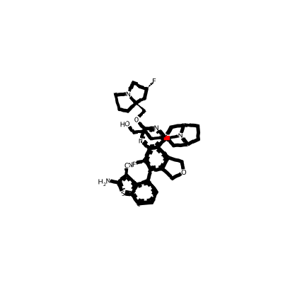 N#Cc1c(N)sc2cccc(-c3c4c(c5c(N6C7CCC6CN(CCCO)C7)nc(OC[C@@]67CCCN6C[C@H](F)C7)nc5c3F)COC4)c12